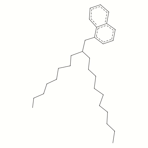 CCCCCCCCCCC(CCCCCCCC)Cc1cccc2ccccc12